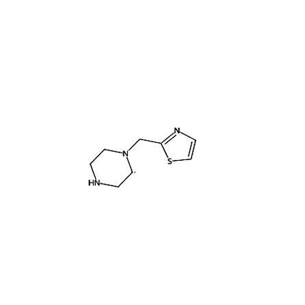 [CH]1CNCCN1Cc1nccs1